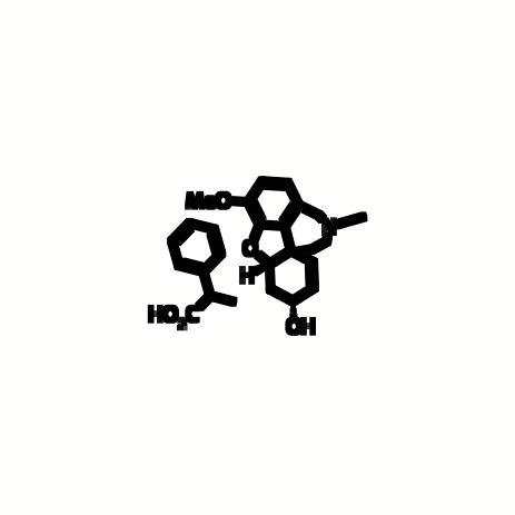 CC(C(=O)O)c1ccccc1.COc1ccc2c3c1O[C@H]1C[C@@H](O)C=C[C@@]31CCN(C)C2